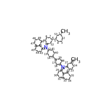 Cc1cccc(-c2cccc(N(c3ccc(-c4ccc(N(c5cccc(C)c5)c5cccc6ccccc56)cc4)cc3)c3cccc4ccccc34)c2)c1